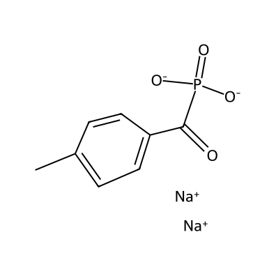 Cc1ccc(C(=O)P(=O)([O-])[O-])cc1.[Na+].[Na+]